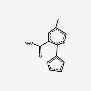 COC(=O)c1cc(C)cnc1-c1nccs1